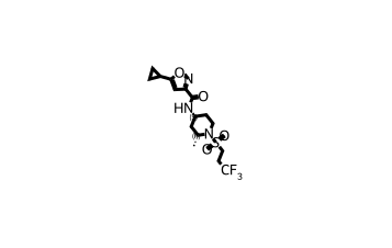 C[C@@H]1C[C@@H](NC(=O)c2cc(C3CC3)on2)CCN1S(=O)(=O)CCC(F)(F)F